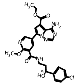 CCOC(=O)c1cc(-c2cnc(OC)c(C(=O)NCC[C@H](O)c3ccc(Cl)cc3)c2)n2ncnc(N)c12